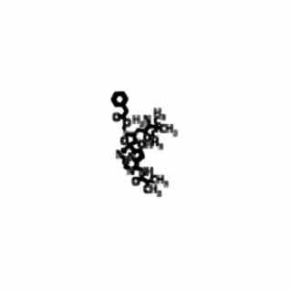 CC(C)C(=O)Nc1ncnn2c([C@]3(C#N)O[C@H](COC(=O)Cc4ccccc4)[C@@H](CC(=O)[C@@H](N)C(C)(C)C)[C@H]3O)ccc12